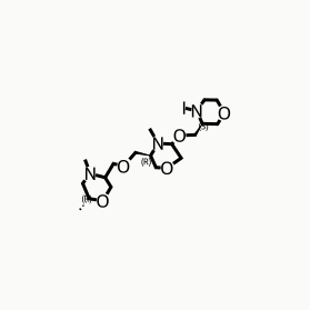 C[C@@H]1CN(C)C(COC[C@@H]2COCC(OC[C@@H]3COCCN3I)N2C)CO1